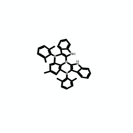 Cc1cc2c3c(c1)B(c1c(C)cccc1C)c1c([nH]c4ccccc14)N3c1[nH]c3ccccc3c1B2c1c(C)cccc1C